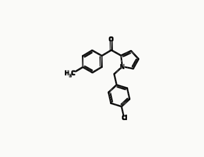 Cc1ccc(C(=O)c2cccn2Cc2ccc(Cl)cc2)cc1